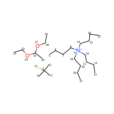 CC(C)(C)F.CCCC[N+](CCCC)(CCCC)CCCC.CCOC(C)OCC